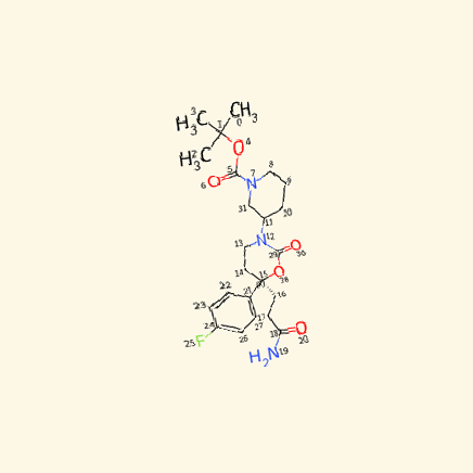 CC(C)(C)OC(=O)N1CCCC(N2CC[C@](CCC(N)=O)(c3ccc(F)cc3)OC2=O)C1